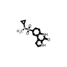 CN(C1CC1)S(=O)(=O)c1ccc2[nH]c(=O)c3[nH]ccc3c2c1